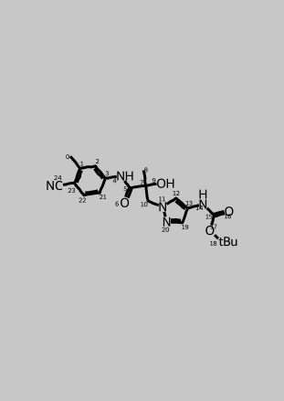 Cc1cc(NC(=O)C(C)(O)Cn2cc(NC(=O)OC(C)(C)C)cn2)ccc1C#N